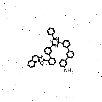 Nc1cccc(-c2cccc(-c3cccc(-c4nc(-c5ccccc5)nc(-c5cccc(-c6ccccc6-c6nc7ccc8ccccc8c7o6)c5)n4)c3)c2)c1